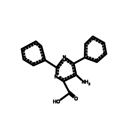 Nc1c(C(=O)O)nc(-c2ccccc2)nc1-c1ccccc1